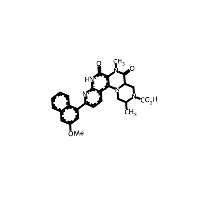 COc1cc(-c2ccc3c4c(c(=O)[nH]c3n2)N(C)C(=O)C2CN(C(=O)O)C(C)CN42)c2ccccc2c1